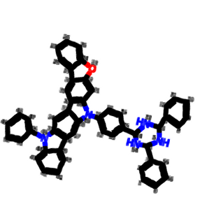 c1ccc(C2NC(c3ccccc3)NC(c3ccc(-n4c5cc6oc7ccccc7c6cc5c5cc6c(cc54)c4ccccc4n6-c4ccccc4)cc3)N2)cc1